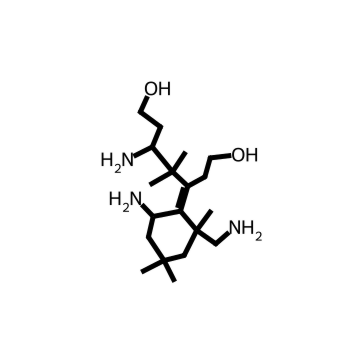 CC1(C)CC(N)C(=C(CCO)C(C)(C)C(N)CCO)C(C)(CN)C1